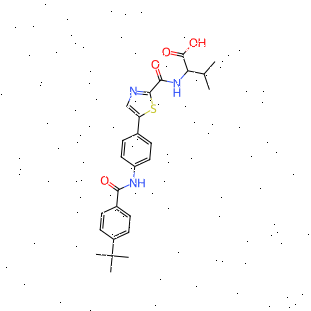 CC(C)C(NC(=O)c1ncc(-c2ccc(NC(=O)c3ccc(C(C)(C)C)cc3)cc2)s1)C(=O)O